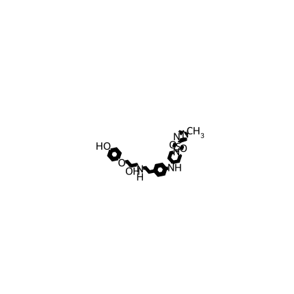 Cn1cnc(S(=O)(=O)N2CCC(Nc3ccc(CCNCC(O)COc4ccc(O)cc4)cc3)CC2)c1